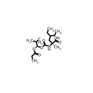 CCC(=O)O[C@H](OC(=O)N[C@@](C)(CC(CC)CC)C(=O)O)C(C)C